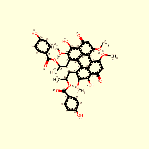 COc1c(O)c2c(=O)cc(OC)c3c4c(OC)cc(=O)c5c(O)c(OC)c(CC(C)OC(=O)c6ccc(O)cc6)c(c(c1CC(C)OC(=O)c1ccc(O)cc1)c23)c54